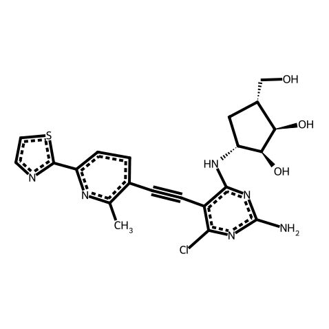 Cc1nc(-c2nccs2)ccc1C#Cc1c(Cl)nc(N)nc1N[C@@H]1C[C@H](CO)[C@@H](O)[C@H]1O